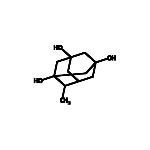 CC1C2CC3(O)CC(O)(C2)CC1(O)C3